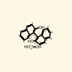 O=S(=O)(O)O.Oc1ccc2ccccc2c1-c1c(O)ccc2ccccc12